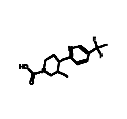 CC1CN(C(=O)O)CCC1c1ccc(C(C)(F)F)cn1